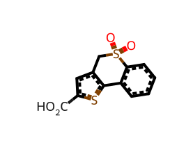 O=C(O)c1cc2c(s1)-c1ccccc1S(=O)(=O)C2